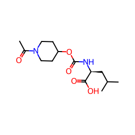 CC(=O)N1CCC(OC(=O)N[C@@H](CC(C)C)C(=O)O)CC1